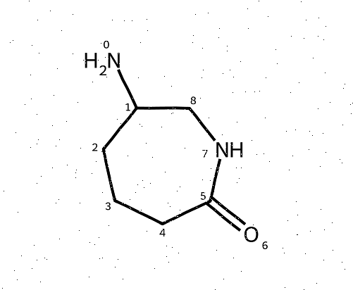 NC1CCCC(=O)NC1